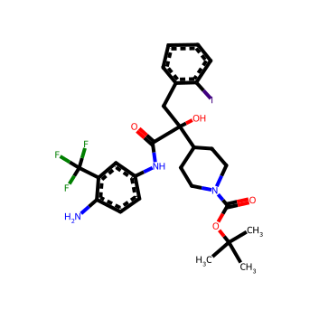 CC(C)(C)OC(=O)N1CCC(C(O)(Cc2ccccc2I)C(=O)Nc2ccc(N)c(C(F)(F)F)c2)CC1